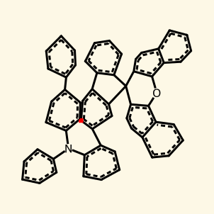 c1ccc(-c2ccc(N(c3ccccc3)c3ccccc3-c3ccc4c(c3)C3(c5ccccc5-4)c4ccc5ccccc5c4Oc4c3ccc3ccccc43)cc2)cc1